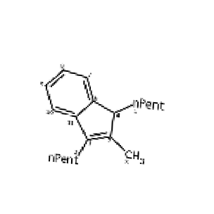 CCCCCC1=C(C)C(CCCCC)c2ccccc21